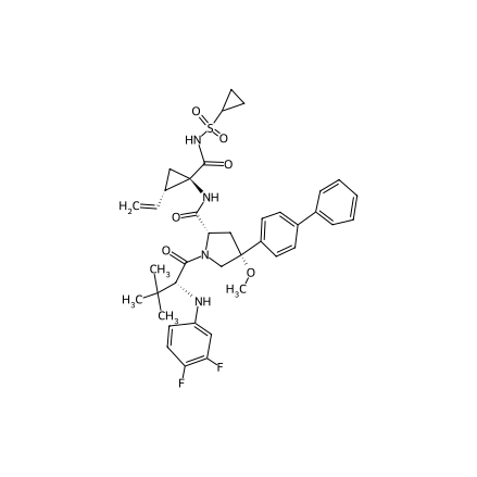 C=C[C@@H]1C[C@]1(NC(=O)[C@@H]1C[C@@](OC)(c2ccc(-c3ccccc3)cc2)CN1C(=O)[C@H](Nc1ccc(F)c(F)c1)C(C)(C)C)C(=O)NS(=O)(=O)C1CC1